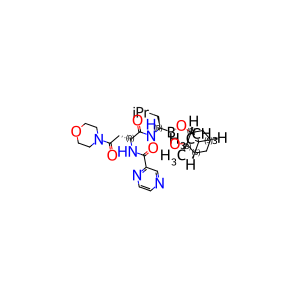 CC(C)C[C@H](NC(=O)[C@@H](CC(=O)N1CCOCC1)NC(=O)c1cnccn1)B1O[C@@H]2C[C@@H]3C[C@@H](C3(C)C)[C@]2(C)O1